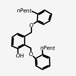 CCCCCc1ccccc1OCc1cccc(O)c1COc1ccccc1CCCCC